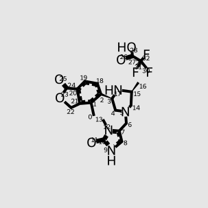 Cc1c([C@@H]2CN(Cc3c[nH]c(=O)n3C)C[C@H](C)N2)ccc2c1COC2=O.O=C(O)C(F)(F)F